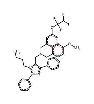 CCCCn1c(-c2ccccc2)nc(-c2ccccc2)c1CN(Cc1ccc(OC)cc1)Cc1cccc(OC(F)(F)C(F)F)c1